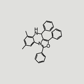 Cc1cc(C)c(NC(c2ccccc2)c2nc(-c3ccccc3)oc2-c2ccccc2)c(C)c1